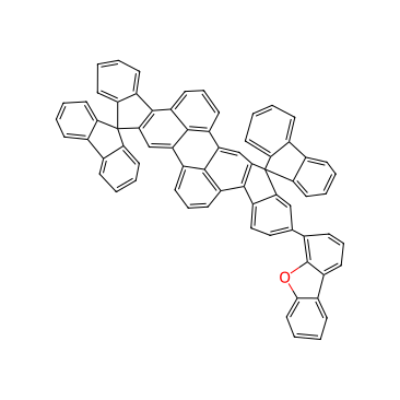 c1ccc2c(c1)-c1ccccc1C21c2ccccc2-c2c1cc1c3cccc4c5c(cc(c6cccc2c61)c43)C1(c2ccccc2-c2ccccc21)c1cc(-c2cccc3c2oc2ccccc23)ccc1-5